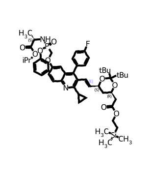 CC(C)OC(=O)[C@H](C)NP(=O)(COc1ccc2nc(C3CC3)c(/C=C/[C@@H]3C[C@H](CC(=O)OCC[Si](C)(C)C)OC(C(C)(C)C)(C(C)(C)C)O3)c(-c3ccc(F)cc3)c2c1)Oc1ccccc1